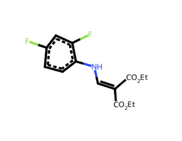 CCOC(=O)C(=CNc1ccc(F)cc1F)C(=O)OCC